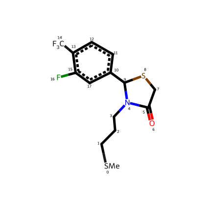 CSCCCN1C(=O)CSC1c1ccc(C(F)(F)F)c(F)c1